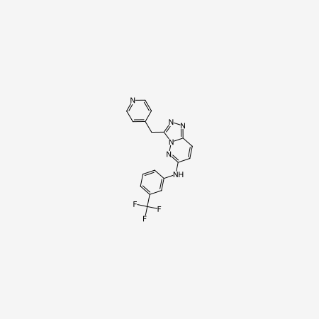 FC(F)(F)c1cccc(Nc2ccc3nnc(Cc4ccncc4)n3n2)c1